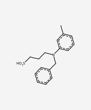 Cc1cccc(N(CCCS(=O)(=O)O)Cc2ccccc2)c1